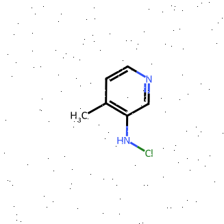 Cc1ccncc1NCl